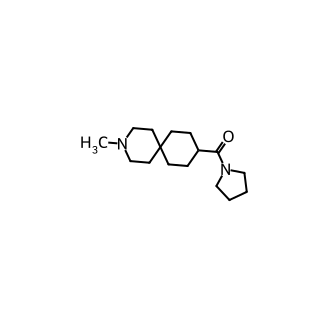 CN1CCC2(CCC(C(=O)N3CCCC3)CC2)CC1